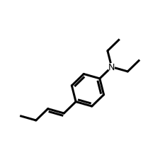 CCC=Cc1ccc(N(CC)CC)cc1